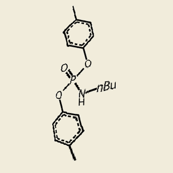 CCCCNP(=O)(Oc1ccc(C)cc1)Oc1ccc(C)cc1